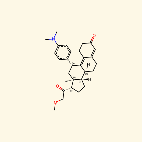 COCC(=O)[C@H]1CC[C@H]2[C@@H]3CCC4=CC(=O)CCC4=C3[C@@H](c3ccc(N(C)C)cc3)C[C@]12C